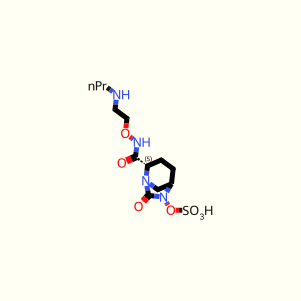 CCCNCCONC(=O)[C@@H]1CCC2CN1C(=O)N2OS(=O)(=O)O